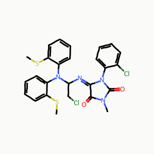 CSc1ccccc1N(c1ccccc1SC)C(CCl)N=C1C(=O)N(C)C(=O)N1c1ccccc1Cl